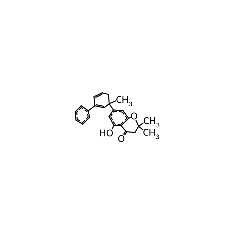 CC1(C)CC(=O)c2c(O)cc(C3(C)C=C(c4ccccc4)C=CC3)cc2O1